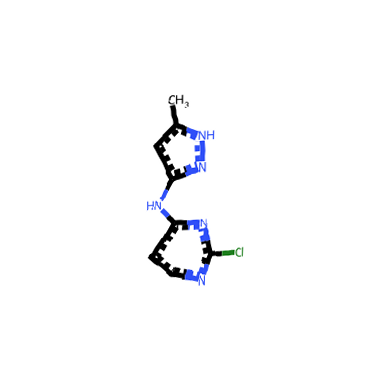 Cc1cc(Nc2ccnc(Cl)n2)n[nH]1